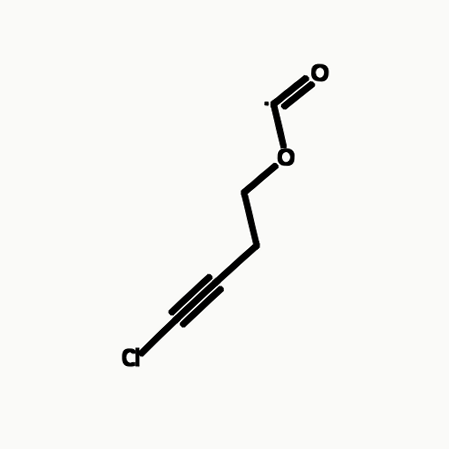 O=[C]OCCC#CCl